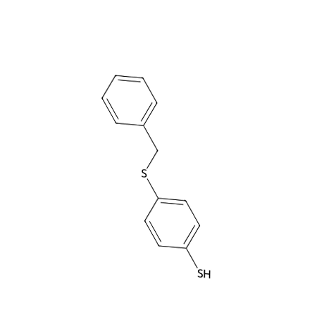 Sc1ccc(SCc2ccccc2)cc1